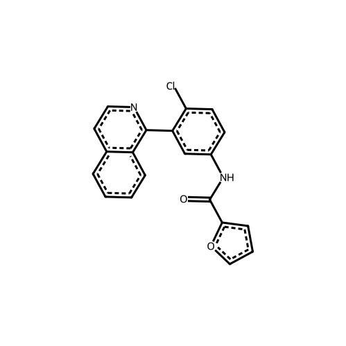 O=C(Nc1ccc(Cl)c(-c2nccc3ccccc23)c1)c1ccco1